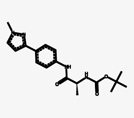 C[C@@H](NC(=O)OC(C)(C)C)C(=O)Nc1ccc(-c2ccn(C)n2)cc1